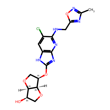 Cc1noc(CNc2nc3nc(O[C@@H]4CO[C@H]5[C@@H]4OC[C@H]5O)[nH]c3cc2Cl)n1